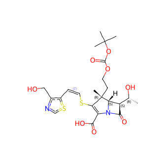 C[C@@H](O)[C@H]1C(=O)N2C(C(=O)O)=C(S/C=C\c3scnc3CO)[C@](C)(CCOC(=O)OC(C)(C)C)[C@H]12